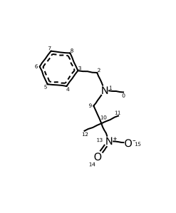 CN(Cc1ccccc1)CC(C)(C)[N+](=O)[O-]